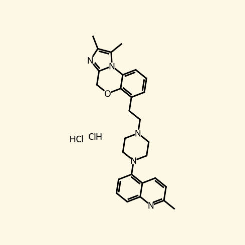 Cc1ccc2c(N3CCN(CCc4cccc5c4OCc4nc(C)c(C)n4-5)CC3)cccc2n1.Cl.Cl